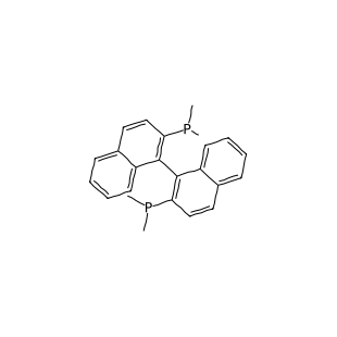 CP(C)c1ccc2ccccc2c1-c1c(P(C)C)ccc2ccccc12